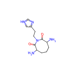 NC1CCCC(N)C(=O)N(CCc2c[nH]cn2)C1=O